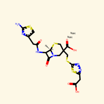 Nc1nc(CC(=O)NC2C(=O)N3CC(CSc4nnc(CC(=O)O)s4)(C(=O)O)CS[C@H]23)cs1.[NaH].[NaH]